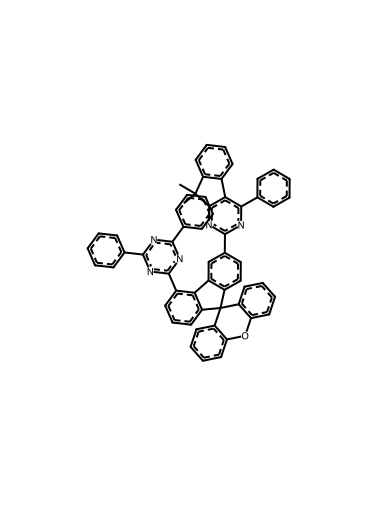 CC1(C)c2ccccc2-c2c(-c3ccccc3)nc(-c3ccc4c(c3)-c3c(-c5nc(-c6ccccc6)nc(-c6ccccc6)n5)cccc3C43c4ccccc4Oc4ccccc43)nc21